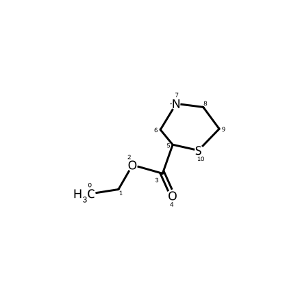 CCOC(=O)C1C[N]CCS1